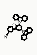 N#Cc1ccc2oc3c(-n4c5ccccc5c5ccccc54)cc(-n4c5ccccc5c5ccccc54)cc3c2c1